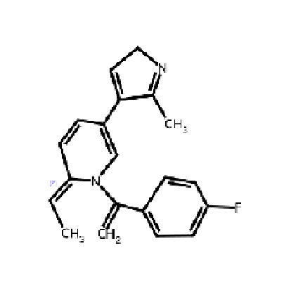 C=C(c1ccc(F)cc1)N1C=C(C2=CCN=C2C)C=C/C1=C/C